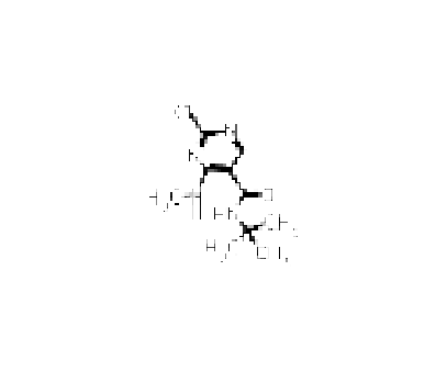 CNc1nc(Cl)ncc1C(=O)NC(C)(C)C